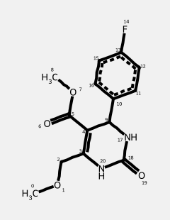 COCC1=C(C(=O)OC)C(c2ccc(F)cc2)NC(=O)N1